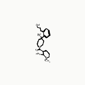 CCCC1C(C(=O)N2CCC(C#N)(c3ccccc3CCCO)CC2)CCCN1C